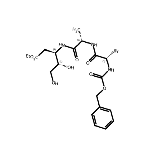 CCOC(=O)C[C@@H](NC(=O)[C@H](C)NC(=O)[C@@H](NC(=O)OCc1ccccc1)C(C)C)[C@H](O)CO